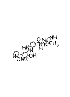 COc1ncccc1-c1ccc(O)c(-c2nc3cc(C(=O)Nc4nc(C=N)n(C)n4)ccc3[nH]2)c1